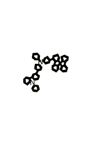 c1ccc(N(c2ccc(-c3ccc4c(c3)c3ccccc3n4-c3ccccc3)cc2)c2ccc(-c3cccc4c3-c3ccccc3C43c4ccccc4-c4ccccc43)cc2)cc1